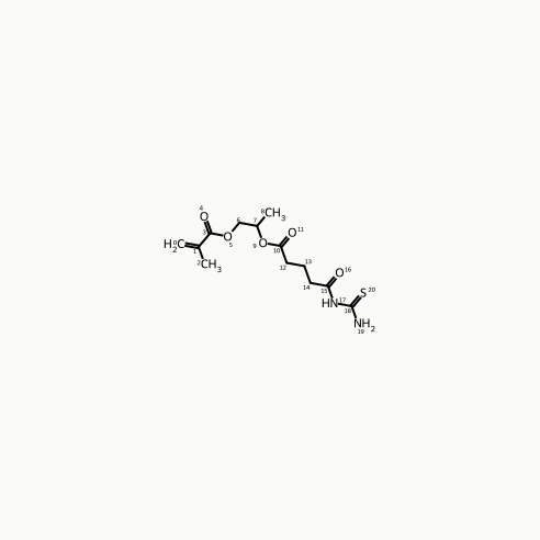 C=C(C)C(=O)OCC(C)OC(=O)CCCC(=O)NC(N)=S